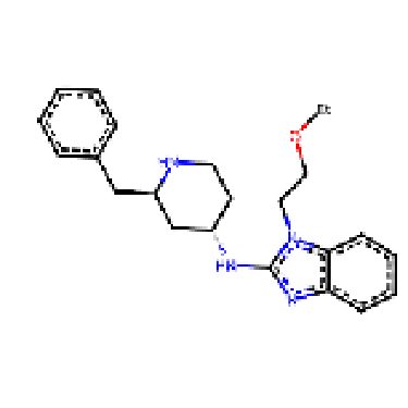 CCOCCn1c(N[C@H]2CCN[C@H](Cc3ccccc3)C2)nc2ccccc21